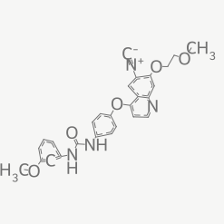 [C-]#[N+]c1cc2c(Oc3ccc(NC(=O)Nc4cccc(OC)c4)cc3)ccnc2cc1OCCOC